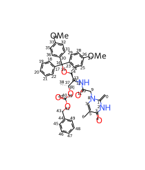 C=C1NC(=O)C(C)=CN1CC(=O)N[C@H](COC(c1ccccc1)(c1ccc(OC)cc1)c1ccc(OC)cc1)[C@@H](C)OC(=O)OCc1ccccc1